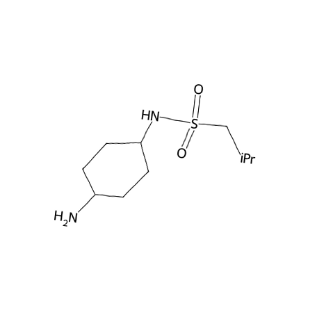 CC(C)CS(=O)(=O)NC1CCC(N)CC1